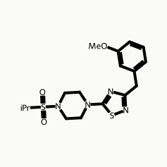 COc1cccc(Cc2nsc(N3CCN(S(=O)(=O)C(C)C)CC3)n2)c1